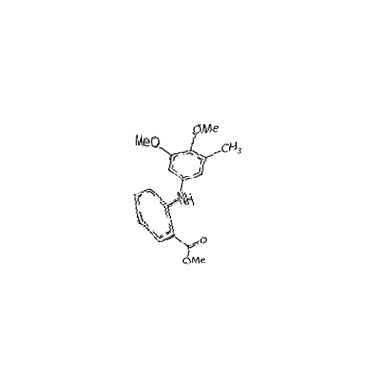 COC(=O)c1ccccc1Nc1cc(C)c(OC)c(OC)c1